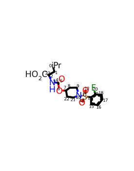 CC(C)CC(NC(=O)OC1CCN(S(=O)(=O)c2ccccc2F)CC1)C(=O)O